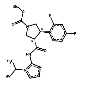 CC(C)C(C)n1ccnc1NC(=O)[C@@H]1CN(C(=O)OC(C)(C)C)C[C@H]1c1ccc(F)cc1F